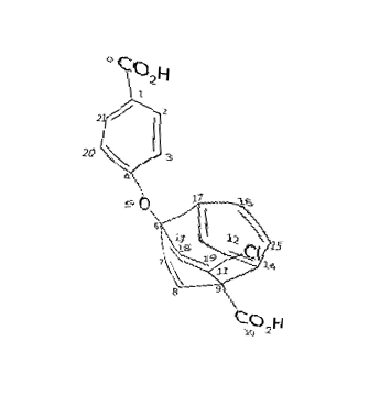 O=C(O)c1ccc(OC23C=CC(C(=O)O)(C(Cl)=C2)c2ccc3cc2)cc1